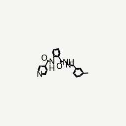 Cc1cccc(/C=N/NC(=O)c2ccccc2NC(=O)c2ccncc2)c1